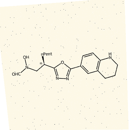 CCCCC[C@H](CN(O)C=O)c1nnc(-c2ccc3c(c2)CCCN3)o1